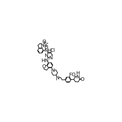 CN(CCc1ccc(C2CCC(=O)NC2=O)c(F)c1)C1CCN(c2ccc(Nc3ncc(Cl)c(Nc4cccc5c4N(S(C)(=O)=O)CC5)n3)c3c2CCO3)CC1